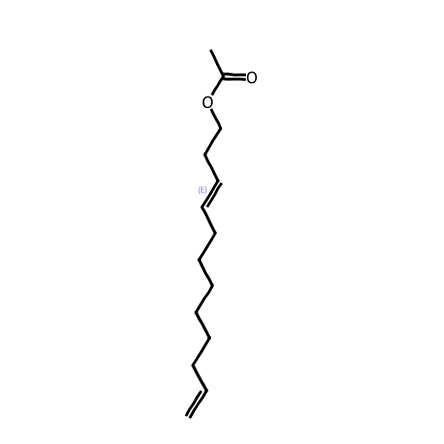 C=CCCCCCC/C=C/CCOC(C)=O